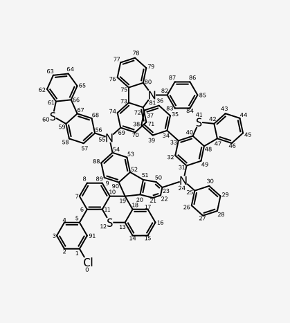 Clc1cccc(-c2cccc3c2Sc2ccccc2C32c3ccc(N(c4ccccc4)c4cc(-c5ccccc5)c5sc6ccccc6c5c4)cc3-c3cc(N(c4ccc5sc6ccccc6c5c4)c4ccc5c(c4)c4ccccc4n5-c4ccccc4)ccc32)c1